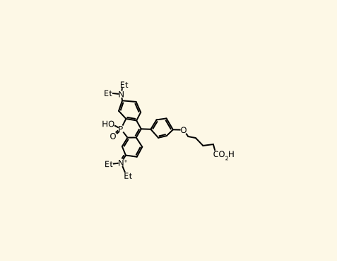 CCN(CC)c1ccc2c(c1)P(=O)(O)C1=CC(=[N+](CC)CC)C=CC1=C2c1ccc(OCCCCC(=O)O)cc1